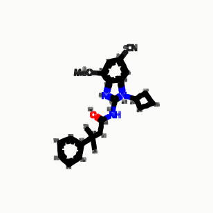 COc1cc(C#N)cc2c1nc(NC(=O)CC(C)(C)c1ccccc1)n2C1CCC1